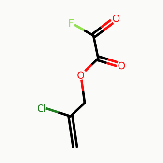 C=C(Cl)COC(=O)C(=O)F